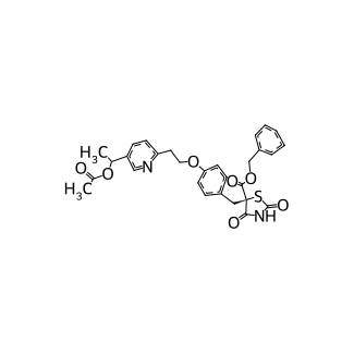 CC(=O)OC(C)c1ccc(CCOc2ccc(C[C@@]3(C(=O)OCc4ccccc4)SC(=O)NC3=O)cc2)nc1